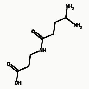 NC(N)CCC(=O)NCCC(=O)O